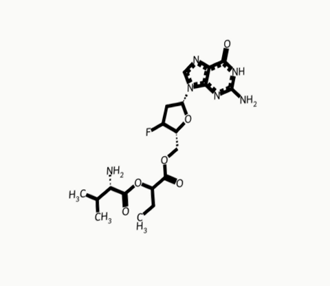 CCC(OC(=O)[C@@H](N)C(C)C)C(=O)OC[C@H]1O[C@@H](n2cnc3c(=O)[nH]c(N)nc32)CC1F